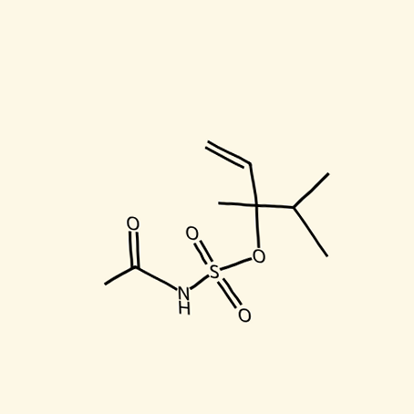 C=CC(C)(OS(=O)(=O)NC(C)=O)C(C)C